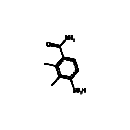 Cc1c(C(N)=O)ccc(S(=O)(=O)O)c1C